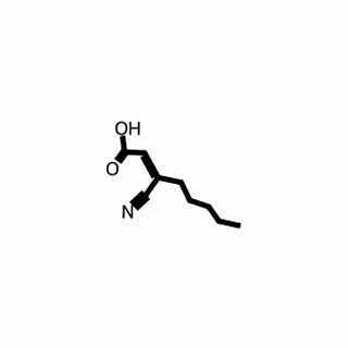 CCCCCC(C#N)=CC(=O)O